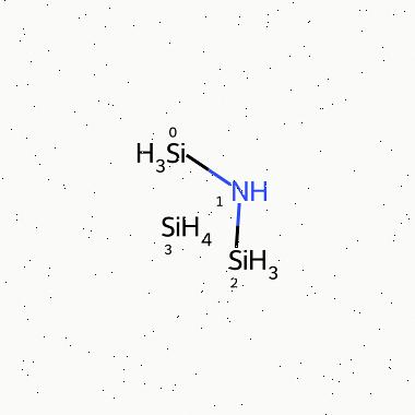 [SiH3]N[SiH3].[SiH4]